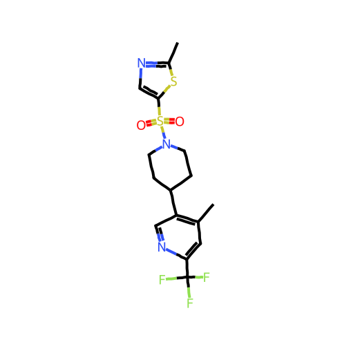 Cc1ncc(S(=O)(=O)N2CCC(c3cnc(C(F)(F)F)cc3C)CC2)s1